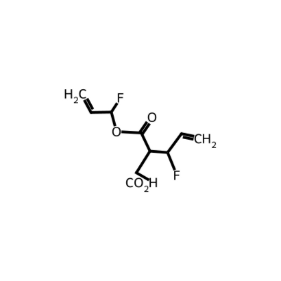 C=CC(F)OC(=O)C(CC(=O)O)C(F)C=C